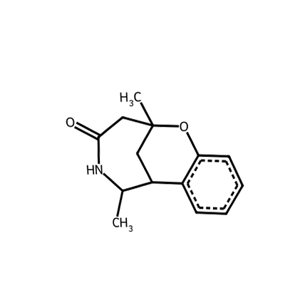 CC1NC(=O)CC2(C)CC1c1ccccc1O2